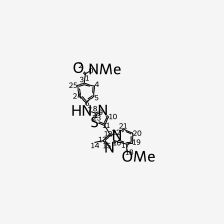 CNC(=O)c1ccc(Nc2ncc(-c3c(C)nc4c(OC)cccn34)s2)cc1